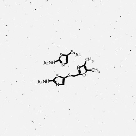 CC(=O)Nc1ncc(SC(C)=O)s1.CC(=O)Nc1ncc(SCc2nc(C)c(C)o2)s1